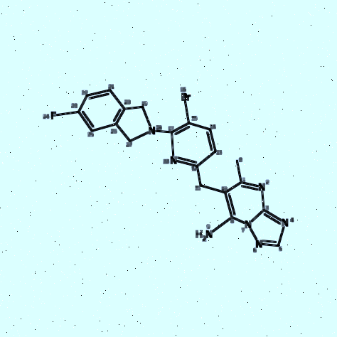 Cc1nc2ncnn2c(N)c1Cc1ccc(Br)c(N2Cc3ccc(F)cc3C2)n1